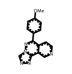 COc1ccc(-c2nn3cnnc3c3cnccc23)cc1